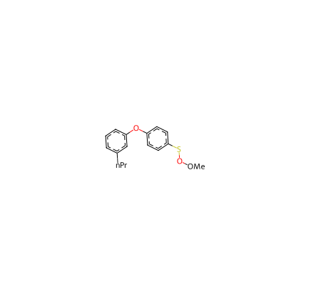 CCCc1cccc(Oc2ccc(SOOC)cc2)c1